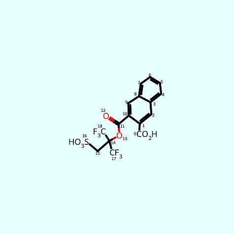 O=C(O)c1cc2ccccc2cc1C(=O)OC(CS(=O)(=O)O)(C(F)(F)F)C(F)(F)F